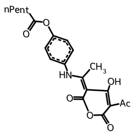 CCCCCC(=O)Oc1ccc(NC(C)=C2C(=O)OC(=O)C(C(C)=O)=C2O)cc1